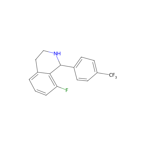 Fc1cccc2c1C(c1ccc(C(F)(F)F)cc1)NCC2